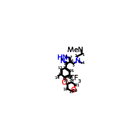 CNCCN(C)Cc1c[nH]nc1-c1cc(C)c(OC2CCOCC2)c(C(F)(F)F)c1